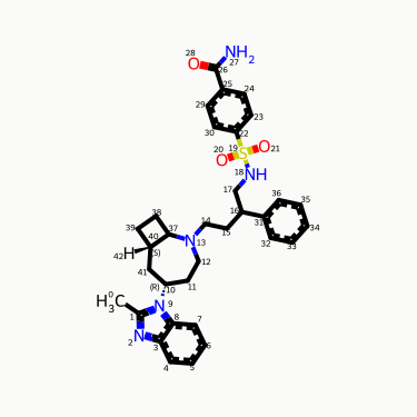 Cc1nc2ccccc2n1[C@H]1CCN(CCC(CNS(=O)(=O)c2ccc(C(N)=O)cc2)c2ccccc2)C2CC[C@H]2C1